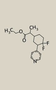 CCOC(=O)C(C)C1CCC(F)(F)C(c2ccncc2)C1